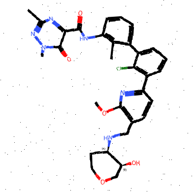 COc1nc(-c2cccc(-c3cccc(NC(=O)c4nc(C)nn(C)c4=O)c3C)c2Cl)ccc1CN[C@@H]1CCOC[C@@H]1O